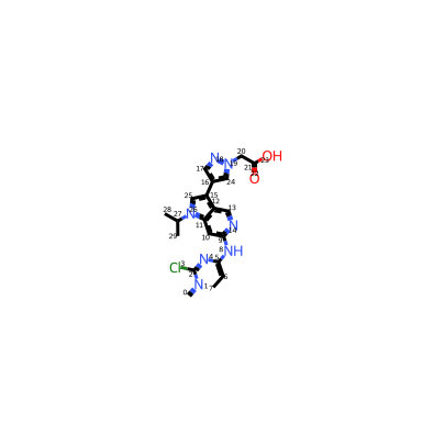 C=N/C(Cl)=N\C(=C/C)Nc1cc2c(cn1)c(-c1cnn(CC(=O)O)c1)cn2C(C)C